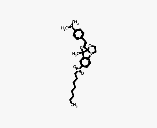 CCCCCCCCS(=O)(=O)c1ccc2c(c1)C(C)(C)C1(C=Cc3ccc(N(C)C)cc3)OCCN21